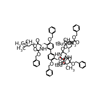 C[C@H](NC(=O)[C@H](Cc1cc(-c2ccc(OCc3ccccc3)c(C[C@H](NC(=O)OCc3ccccc3)C(=O)OCC[Si](C)(C)C)c2)ccc1OCc1ccccc1)NC(=O)[C@H](C[C@H](CNC(=O)OCc1ccccc1)O[Si](C)(C)C(C)(C)C)NC(=O)OC(C)(C)C)C(=O)OCc1ccccc1